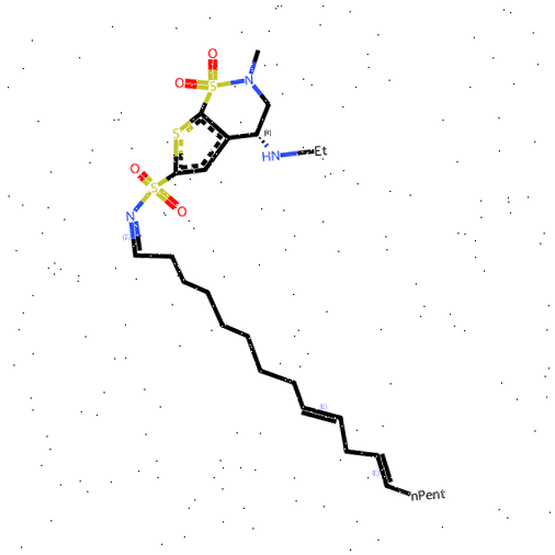 CCCCC/C=C/C/C=C/CCCCCCC/C=N\S(=O)(=O)c1cc2c(s1)S(=O)(=O)N(C)C[C@@H]2NCC